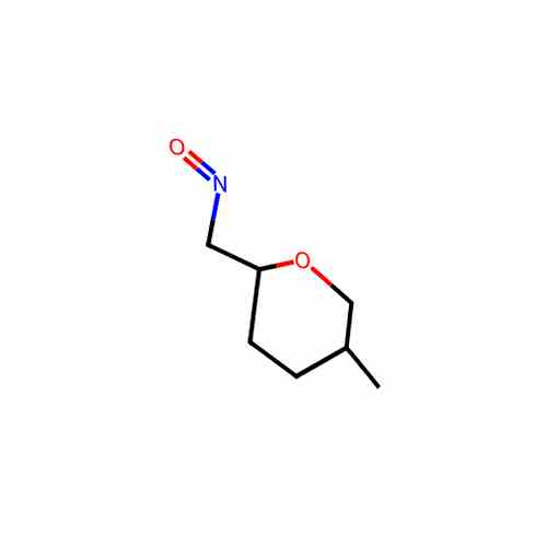 CC1CCC(CN=O)OC1